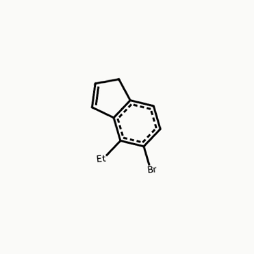 CCc1c(Br)ccc2c1C=CC2